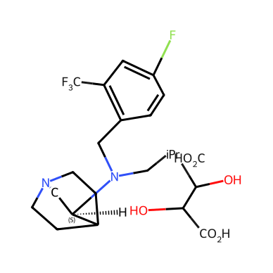 CC(C)CN(Cc1ccc(F)cc1C(F)(F)F)[C@@H]1CN2CCC1CC2.O=C(O)C(O)C(O)C(=O)O